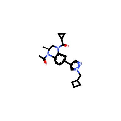 CC(=O)N1c2ccc(-c3cnn(CC4CCC4)c3)cc2N(C(=O)C2CC2)C[C@@H]1C